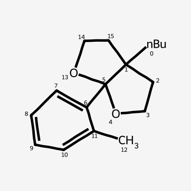 CCCCC12CCOC1(c1ccccc1C)OCC2